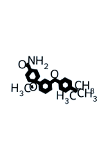 COC1(c2cccc(C(=O)c3ccc(C(C)(C)C)cc3)c2)C=CC(C(N)=O)=CC1